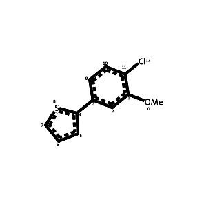 COc1cc(-c2cc[c]s2)ccc1Cl